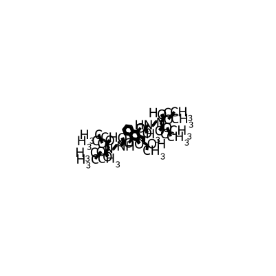 CC(O)c1cc2c(OC(=O)NCCN(C(=O)OC(C)(C)C)C(=O)OC(C)(C)C)c3ccccc3c(OC(=O)NCCN(C(=O)OC(C)(C)C)C(=O)OC(C)(C)C)c2o1